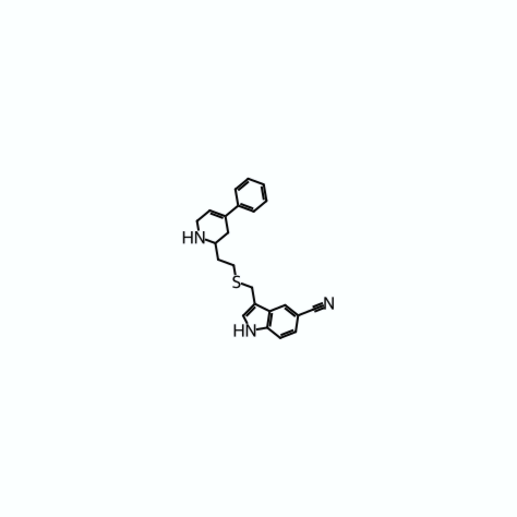 N#Cc1ccc2[nH]cc(CSCCC3CC(c4ccccc4)=CCN3)c2c1